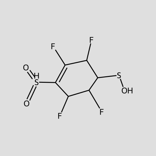 O=[SH](=O)C1=C(F)C(F)C(SO)C(F)C1F